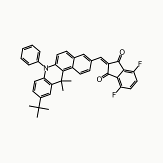 CC(C)(C)c1ccc2c(c1)C(C)(C)c1c(ccc3cc(C=C4C(=O)c5c(F)ccc(F)c5C4=O)ccc13)N2c1ccccc1